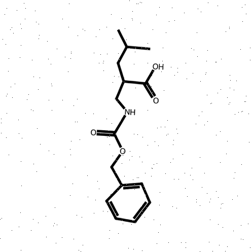 CC(C)CC(CNC(=O)OCc1ccccc1)C(=O)O